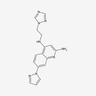 Nc1cc(NCCn2cncn2)c2ccc(-n3cccn3)cc2n1